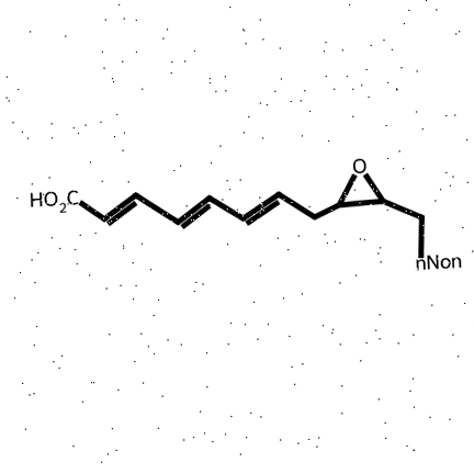 CCCCCCCCCCC1OC1CC=CC=CC=CC(=O)O